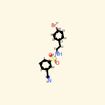 N#Cc1cccc(S(=O)(=O)NCCc2ccc(Br)cc2)c1